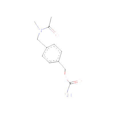 CC(=O)N(C)Cc1ccc(COC(N)=O)cc1